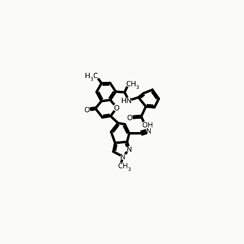 Cc1cc(C(C)Nc2ccccc2C(=O)O)c2oc(-c3cc(C#N)c4nn(C)cc4c3)cc(=O)c2c1